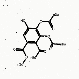 CCCCOC(=O)c1cc(O)c(OC(=O)CCCC)c(OC(=O)CCCC)c1C(=O)CCCC